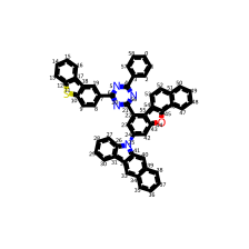 c1ccc(-c2nc(-c3ccc4sc5ccccc5c4c3)nc(-c3cc(-n4c5ccccc5c5cc6ccccc6cc54)cc4oc5c6ccccc6ccc5c34)n2)cc1